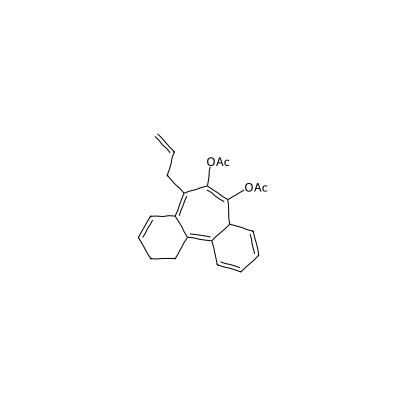 C=CCC1=C2C=CCCC2=C2C=CC=CC2C(OC(C)=O)=C1OC(C)=O